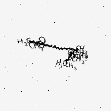 CC(C)CCCOC(=O)CCCCCCCCCCCCCCCCC(C(C)C)C(C(=O)OCCCC(C)C)C(C)C